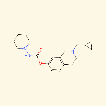 O=C(NN1CCCCC1)Oc1ccc2c(c1)CN(CC1CC1)CC2